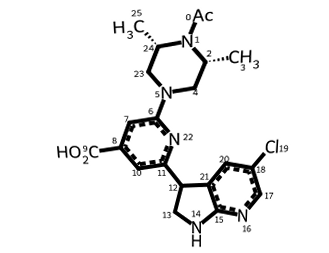 CC(=O)N1[C@H](C)CN(c2cc(C(=O)O)cc(C3CNc4ncc(Cl)cc43)n2)C[C@@H]1C